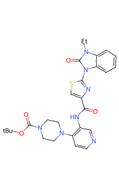 CCn1c(=O)n(-c2nc(C(=O)Nc3cnccc3N3CCN(C(=O)OC(C)(C)C)CC3)cs2)c2ccccc21